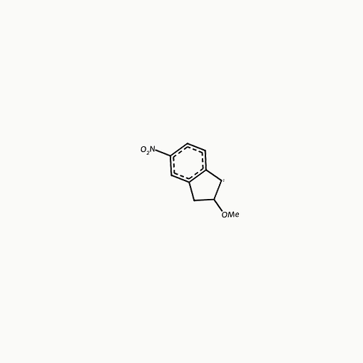 COC1[C]c2ccc([N+](=O)[O-])cc2C1